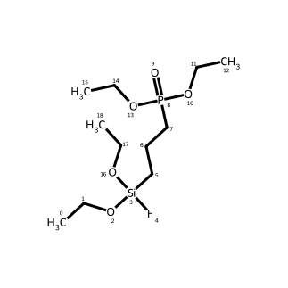 CCO[Si](F)(CCCP(=O)(OCC)OCC)OCC